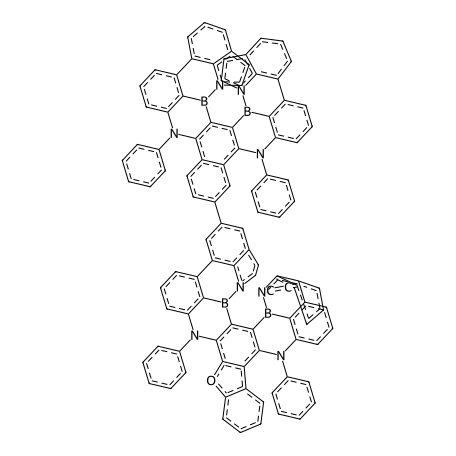 c1ccc(N2c3cccc4c3B(c3c5c(c6cc(-c7cc8c9c(ccn9B9c%10c-8cccc%10N(c8ccccc8)c8c9c9c(c%10c8oc8ccccc8%10)N(c8ccccc8)c8cccc%10c8B9n8ccc9cccc-%10c98)c7)ccc6c32)N(c2ccccc2)c2cccc3c2B5n2ccc5cccc-3c52)n2ccc3cccc-4c32)cc1